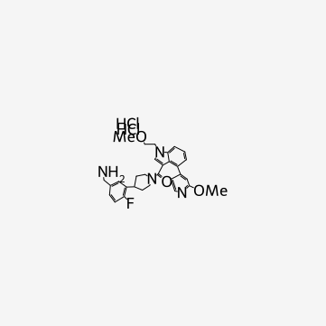 COCCn1cc(C(=O)N2CCC(c3cc(CN)ccc3F)CC2)c2c(-c3ccnc(OC)c3)cccc21.Cl.Cl